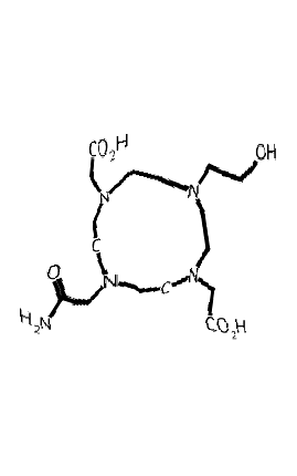 NC(=O)CN1CCN(CC(=O)O)CCN(CCO)CCN(CC(=O)O)CC1